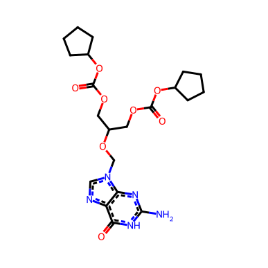 Nc1nc2c(ncn2COC(COC(=O)OC2CCCC2)COC(=O)OC2CCCC2)c(=O)[nH]1